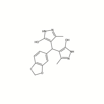 Cc1n[nH]c(O)c1C(c1ccc2c(c1)OCO2)c1c(C)n[nH]c1O